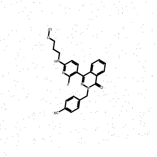 CCOCCCNc1ccc(-c2nn(Cc3ccc(C#N)cc3)c(=O)c3ccccc23)c(F)n1